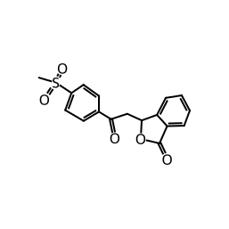 CS(=O)(=O)c1ccc(C(=O)CC2OC(=O)c3ccccc32)cc1